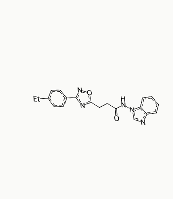 CCc1ccc(-c2noc(CCC(=O)Nn3cnc4ccccc43)n2)cc1